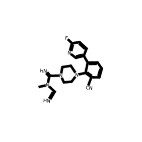 CN(C=N)C(=N)N1CCN(c2c(C#N)cccc2-c2ccc(F)nc2)CC1